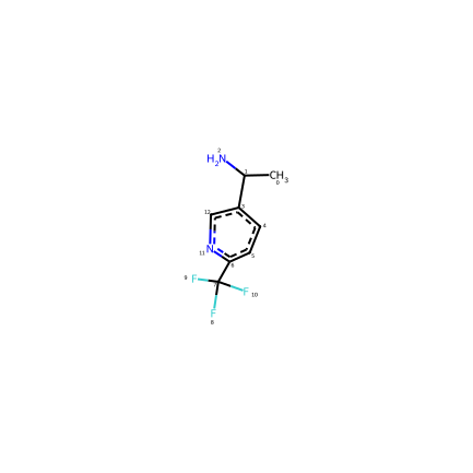 CC(N)c1ccc(C(F)(F)F)nc1